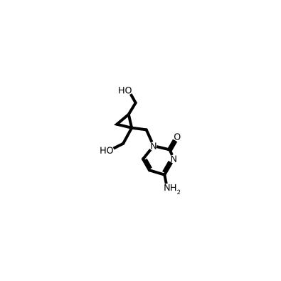 Nc1ccn(CC2(CO)CC2CO)c(=O)n1